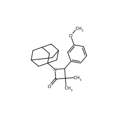 COc1cccc(C2N(C34CC5CC(CC(C5)C3)C4)C(=O)C2(C)C)c1